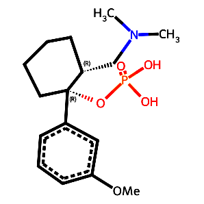 COc1cccc([C@@]2(OP(=O)(O)O)CCCC[C@@H]2CN(C)C)c1